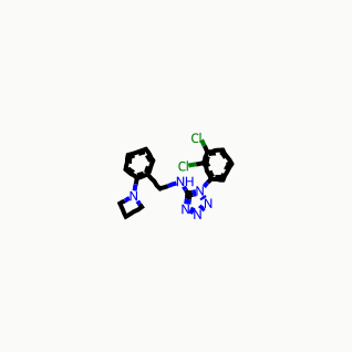 Clc1cccc(-n2nnnc2NCc2ccccc2N2CCC2)c1Cl